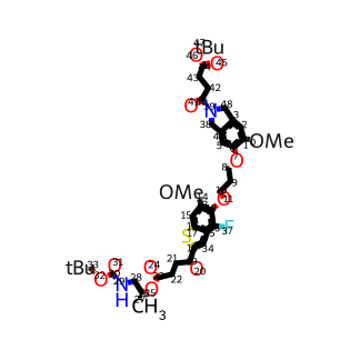 COc1cc2c(cc1OCCCOc1c(OC)cc3sc(C(=O)CCC(=O)O[C@@H](C)CNC(=O)OC(C)(C)C)cc3c1F)CN(C(=O)CCC(=O)OC(C)(C)C)C2